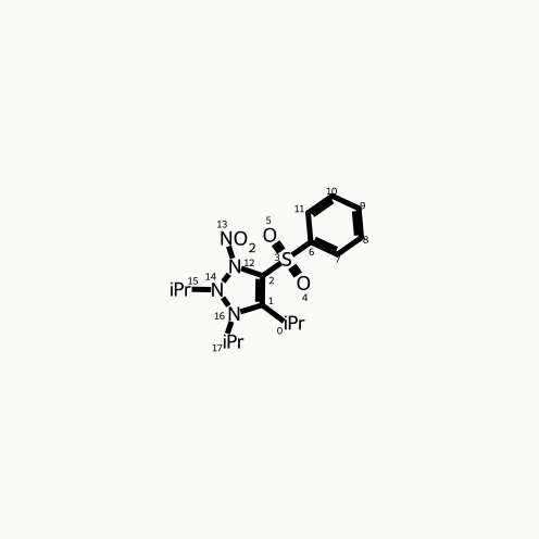 CC(C)C1=C(S(=O)(=O)c2ccccc2)N([N+](=O)[O-])N(C(C)C)N1C(C)C